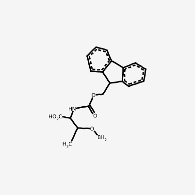 BOC(C)C(NC(=O)OCC1c2ccccc2-c2ccccc21)C(=O)O